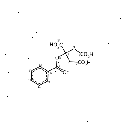 O=C(O)CC(CC(=O)O)(OC(=O)c1ccccc1)C(=O)O